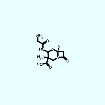 CC1(C(=O)O)CN2C(=O)C[C@H]2SC1NC(=O)CN